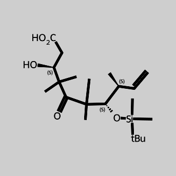 C=C[C@H](C)[C@H](O[Si](C)(C)C(C)(C)C)C(C)(C)C(=O)C(C)(C)[C@@H](O)CC(=O)O